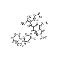 CCCc1nc2c(C)cc(NC(=C(C#N)C#N)N3CCCC3)cc2n1Cc1ccc(-c2ccccc2C(=O)O)cc1